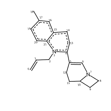 C=CC[n+]1c(C2=CN3CCC3CC2)ccc2cc(C)ccc21